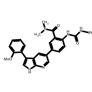 COc1ccccc1-c1c[nH]c2ncc(-c3ccc(NC(=O)NC(C)C)c(C(=O)N(C)C)c3)cc12